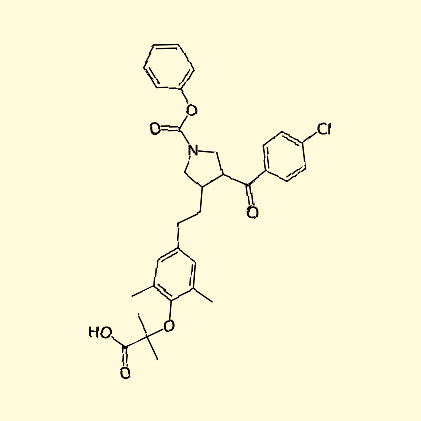 Cc1cc(CCC2CN(C(=O)Oc3ccccc3)CC2C(=O)c2ccc(Cl)cc2)cc(C)c1OC(C)(C)C(=O)O